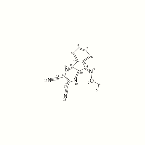 CCON=C1c2ccccc2-c2nc(C#N)c(C#N)nc21